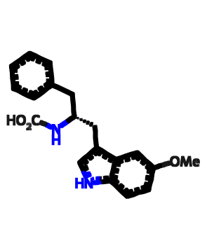 COc1ccc2[nH]cc(C[C@@H](Cc3ccccc3)NC(=O)O)c2c1